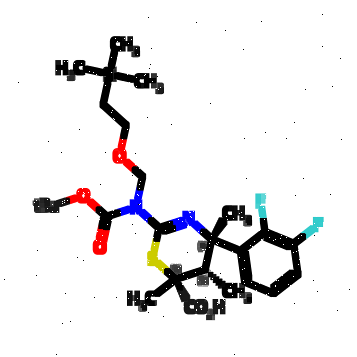 C[C@@H]1[C@@](C)(C(=O)O)SC(N(COCC[Si](C)(C)C)C(=O)OC(C)(C)C)=N[C@]1(C)c1cccc(F)c1F